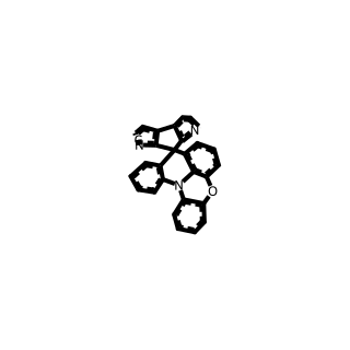 c1ccc2c(c1)Oc1cccc3c1N2c1ccccc1C31c2ncccc2-c2cccnc21